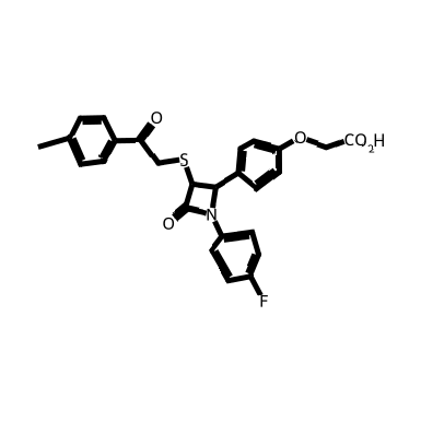 Cc1ccc(C(=O)CSC2C(=O)N(c3ccc(F)cc3)C2c2ccc(OCC(=O)O)cc2)cc1